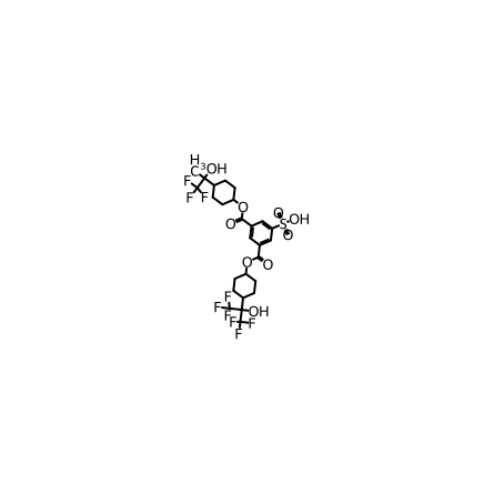 CC(O)(C1CCC(OC(=O)c2cc(C(=O)OC3CCC(C(O)(C(F)(F)F)C(F)(F)F)CC3)cc(S(=O)(=O)O)c2)CC1)C(F)(F)F